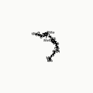 COc1cc2c(c(F)c1OCCCOc1c(OC)cc3sc(C(=O)CCC(=O)O[C@@H](C)CNC(=O)CCOCCNC(=O)OC(C)(C)C)cc3c1F)CN(C(=O)CCC(=O)OC(C)(C)C)C2